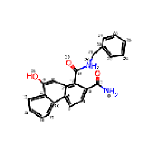 NC(=O)c1ccc2c(cc(O)c3ccccc32)c1C(=O)NCc1ccccc1